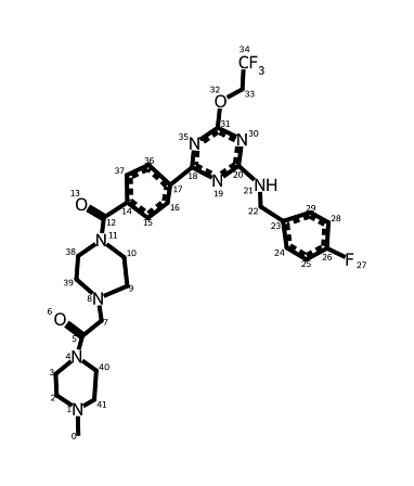 CN1CCN(C(=O)CN2CCN(C(=O)c3ccc(-c4nc(NCc5ccc(F)cc5)nc(OCC(F)(F)F)n4)cc3)CC2)CC1